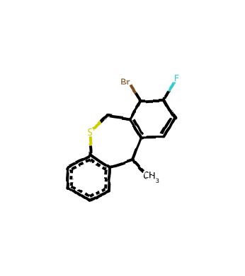 CC1C2=C(CSc3ccccc31)C(Br)C(F)C=C2